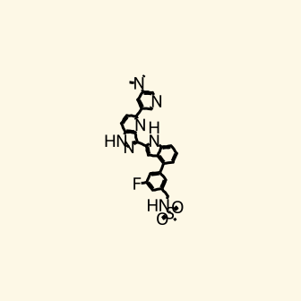 CN(C)c1cncc(-c2ccc3[nH]nc(-c4cc5c(-c6cc(F)cc(CNS(C)(=O)=O)c6)cccc5[nH]4)c3n2)c1